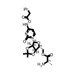 CC(C)CC(=O)ONc1ccn([C@@H]2O[C@H](COC(=O)[C@H](C)N)[C@H]3OC(C)(C)O[C@H]32)c(=O)n1